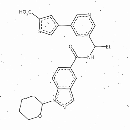 CCC(NC(=O)c1ccc2c(cnn2C2CCCCO2)c1)c1cncc(-c2csc(C(=O)O)c2)c1